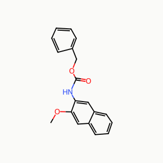 COc1cc2ccccc2cc1NC(=O)OCc1ccccc1